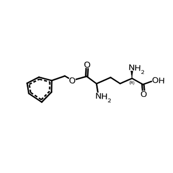 NC(CC[C@@H](N)C(=O)O)C(=O)OCc1ccccc1